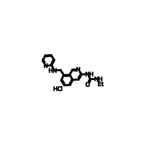 CCNC(=O)Nc1cc2cccc(CNc3ccccn3)c2cn1.Cl